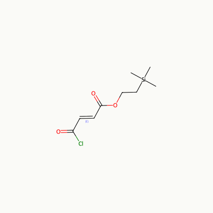 C[Si](C)(C)CCOC(=O)/C=C/C(=O)Cl